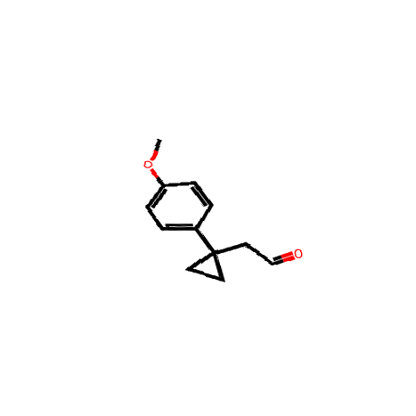 COc1ccc(C2(CC=O)CC2)cc1